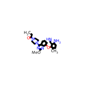 C=CC(=O)N1CCN(c2nc(OC)nc3c(Oc4c(C)ccc(N)c4C=N)cccc23)CC1